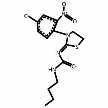 CCCCNC(=O)N=C1SCCN1c1ccc(Cl)cc1[N+](=O)[O-]